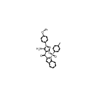 Cc1ccc(S(=O)(=O)n2c(C(=O)c3cnn(-c4ccc(OC(C)C)cc4)c3N)cc3ccccc32)cc1